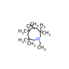 CCN1CC(C)(C)CC(C)C(C)(C)CC(C)(C)C1